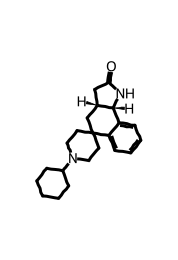 O=C1C[C@H]2CC3(CCN(C4CCCCC4)CC3)c3ccccc3[C@H]2N1